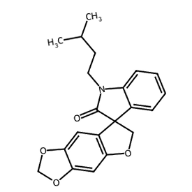 CC(C)CCN1C(=O)C2(COc3cc4c(cc32)OCO4)c2ccccc21